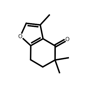 Cc1coc2c1C(=O)C(C)(C)CC2